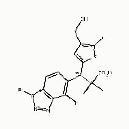 CCn1nnc2c(F)c([C@H](c3cc(CO)c(Cl)s3)C(C)(C)C(=O)O)ccc21